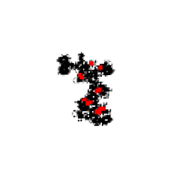 CCCCOC1C(N=[N+]=[N-])C(OC2C(COC(=O)CCl)OC(OC3C(CO)OC(OC4C(COC(=O)CCl)OC(OC5C(CO)OC(OC6C(COC(=O)CCl)OC(O)C(OC(=O)c7ccccc7)C6OCCCC)C(N=[N+]=[N-])C5OCCCC)C(OC(=O)c5ccccc5)C4OCCCC)C(N=[N+]=[N-])C3OCCCC)C(OC(=O)c3ccccc3)C2OCCCC)OC(CO)C1OC(=O)OCC1c2ccccc2-c2ccccc21